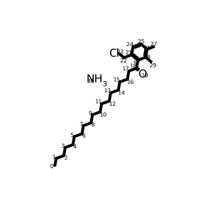 CCCCCCCCCCCCCCCCCCC(=O)c1c(CCl)ccc(C)c1C.N